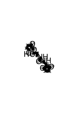 O=C(NCCC(O)ON1C(=O)CCC1=O)NCCN1C(=O)C=CC1=O